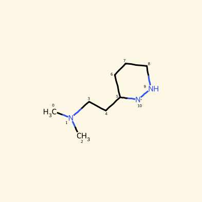 CN(C)CCC1CCCN[N]1